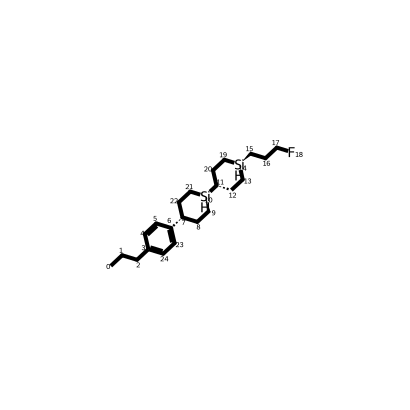 CCCc1ccc([C@H]2CC[Si@H]([C@H]3CC[Si@H](CCCF)CC3)CC2)cc1